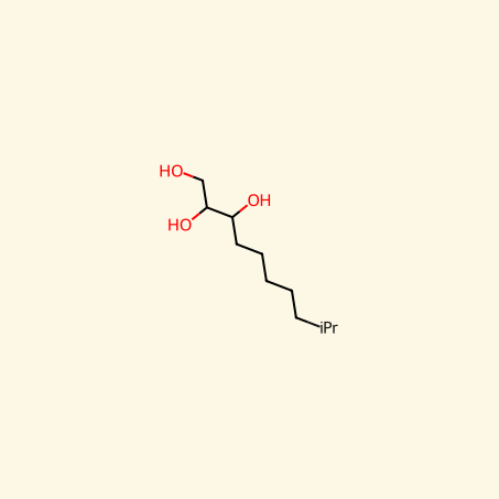 CC(C)CCCCCC(O)C(O)CO